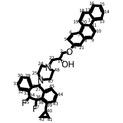 O[C@H](COc1ccc2c(ccc3c4ccccc4ccc23)c1)CN1CCN(C2c3ccccc3C(F)C(F)c3c(C4CC4)cccc32)CC1